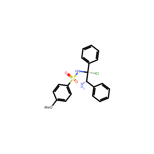 COc1ccc(S(=O)(=O)N[C@@](Cl)(c2ccccc2)[C@@H](N)c2ccccc2)cc1